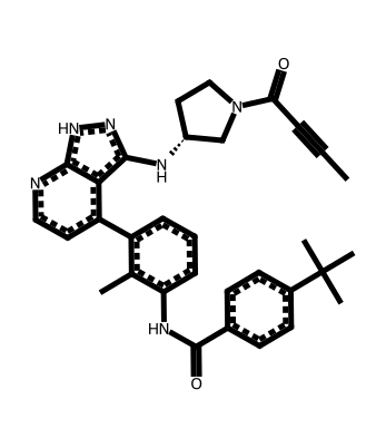 CC#CC(=O)N1CC[C@@H](Nc2n[nH]c3nccc(-c4cccc(NC(=O)c5ccc(C(C)(C)C)cc5)c4C)c23)C1